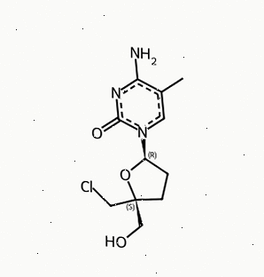 Cc1cn([C@H]2CC[C@](CO)(CCl)O2)c(=O)nc1N